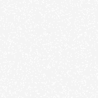 COc1cc(C#N)ccc1Oc1nnc(I)c(C)c1C(=O)NC1=CC=C[N+](=O)C1